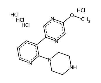 COc1cnc(-c2cccnc2N2CCNCC2)cn1.Cl.Cl.Cl.Cl